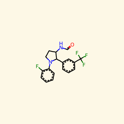 O=CNC1CCN(c2ccccc2F)C1c1cccc(C(F)(F)F)c1